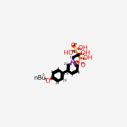 CCCCOc1ccc(-c2ccc[n+](CC(O)(P(=O)(O)O)P(=O)(O)O)c2)cc1